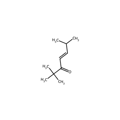 CC(C)/C=C/C(=O)C(C)(C)C